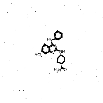 Cl.NC(=O)[C@H]1CC[C@H](Nc2nc(Nc3ccccc3)c3ccccc3n2)CC1